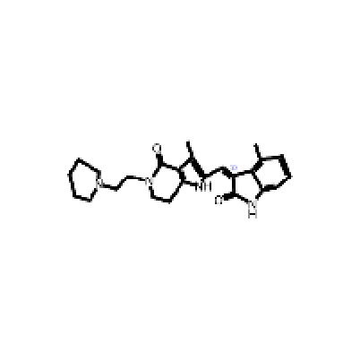 Cc1cccc2c1/C(=C/c1[nH]c3c(c1C)C(=O)N(CCN1CCCCC1)CC3)C(=O)N2